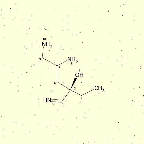 CC[C@](O)(C=N)CC(N)CN